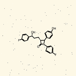 O=C1[C@@H](CC[C@H](O)c2ccc(F)cc2)C(c2ccc(O)cc2)N1c1ccc(F)cc1